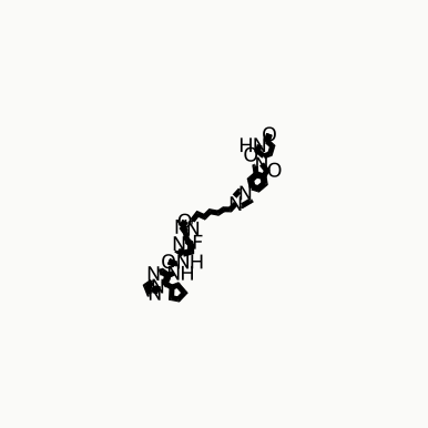 O=C1CCC(N2Cc3cc(N4CCN(CCCCCCc5nc(-c6ncc(NC(=O)Nc7cnc8ccnn8c7C7CCCC7)cc6F)no5)CC4)ccc3C2=O)C(=O)N1